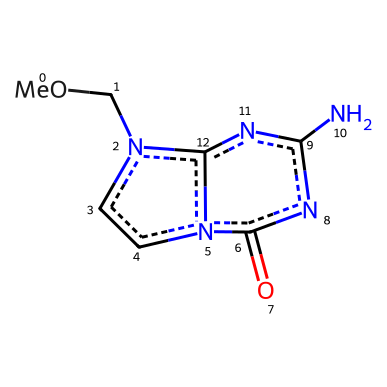 COCn1ccn2c(=O)nc(N)nc12